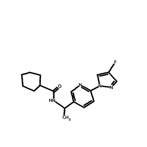 CC(NC(=O)C1CCCCC1)c1ccc(-n2cc(F)cn2)nc1